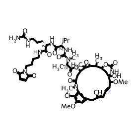 COc1cc2cc(c1Cl)N(C)C(=O)CC(OC(=O)[C@H](C)N(C)C(=O)N[C@H](C(=O)N[C@@H](CCCNC(N)=O)C(=O)NCCCCN1C(=O)C=CC1=O)C(C)C)C1(C)OC1C(C)C1CC(O)(NC(=O)O1)C(OC)/C=C/C=C(\C)C2